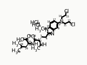 CN[C@@H](CCc1nc2cc(N(CCCl)CCCl)ccc2n1C)C(=O)N[C@@H](CC(C)C)C(=O)O.Cl.Cl